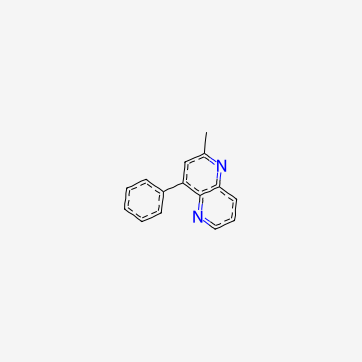 Cc1cc(-c2ccccc2)c2ncccc2n1